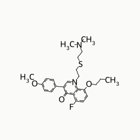 CCCOc1ccc(F)c2c(=O)c(-c3ccc(OC)cc3)cn(CCSCCN(C)C)c12